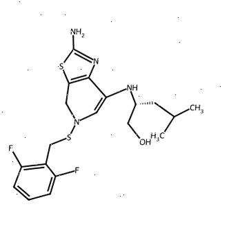 CC(C)C[C@H](CO)NC1=CN(SCc2c(F)cccc2F)Cc2sc(N)nc21